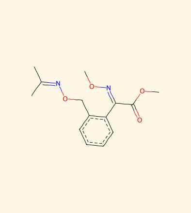 CO/N=C(/C(=O)OC)c1ccccc1CON=C(C)C